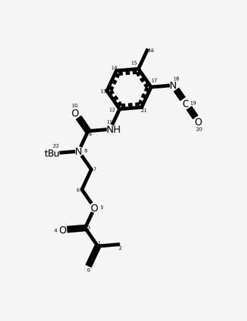 C=C(C)C(=O)OCCN(C(=O)Nc1ccc(C)c(N=C=O)c1)C(C)(C)C